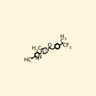 C#Cc1ccc(N2CCN(C(=O)Cc3ccc(C(C)C(F)(F)F)cc3)C[C@@H]2C)nn1